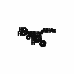 CC(=O)NCCNc1nc(-c2ccccc2)nc2[nH]c(C(=O)NC(CO)CO)cc12